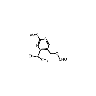 CCN(C)c1nc(SC)ncc1COC=O